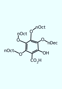 CCCCCCCCCCOc1c(O)c(C(=O)O)c(OCCCCCCCC)c(OCCCCCCCC)c1OCCCCCCCC